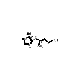 NC(CCC(=O)O)C(=O)O.[Nd].c1c[nH]cn1